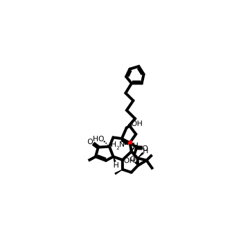 CC1=C[C@H]2[C@@]3(O)[C@H](C)C[C@]4(OC(=O)C(N)CCCCCCc5ccccc5)[C@H]([C@@H]3C=C(CO)C[C@]2(O)C1=O)C4(C)C